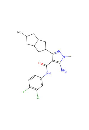 Cn1nc(C2CC3CC(C#N)CC3C2)c(C(=O)Nc2ccc(F)c(Cl)c2)c1N